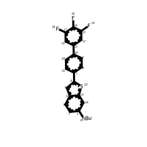 CCCCc1ccc2cc(-c3ccc(-c4cc(F)c(F)c(F)c4)cc3)sc2c1